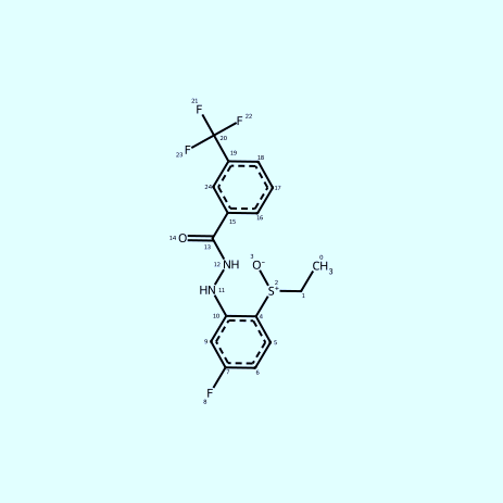 CC[S+]([O-])c1ccc(F)cc1NNC(=O)c1cccc(C(F)(F)F)c1